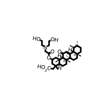 C[C@H]1[C@H](C)CC[C@]2(C)CC[C@]3(C)C(=CC(=O)[C@@H]4[C@@]5(C)CC(OC(=O)CN(CCO)CCO)CC(C)(CC(=O)O)[C@@H]5CC[C@]43C)[C@H]12